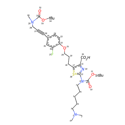 CN(C)CCCCCN(C(=O)OC(C)(C)C)c1nc(C(=O)O)c(CCCOc2ccc(C#CCN(C)C(=O)OC(C)(C)C)cc2F)s1